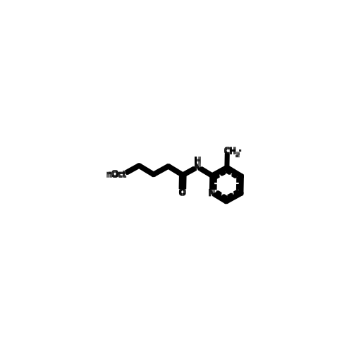 [CH2]c1cccnc1NC(=O)CCCCCCCCCCC